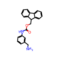 NCc1[c]ccc(NC(=O)OCC2c3ccccc3-c3ccccc32)c1